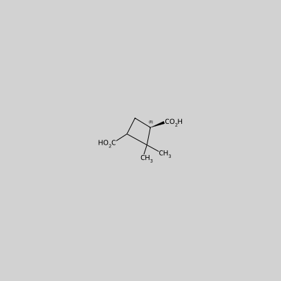 CC1(C)C(C(=O)O)C[C@H]1C(=O)O